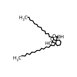 CCCCCCCCCCCCCCCC1(C(=O)O)CCCCC1(CCCCCCCCCCCCCCC)C(=O)O